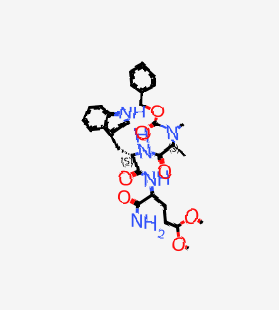 COC(CCC(NC(=O)[C@H](Cc1c[nH]c2ccccc12)NC(=O)[C@H](C)N(C)C(=O)OCc1ccccc1)C(N)=O)OC